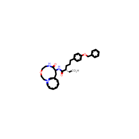 O=C(O)C[C@@H](CCCc1ccc(OCc2ccccc2)cc1)C(=O)NC1Cc2ccccccn(c2)CCOCCNC1=O